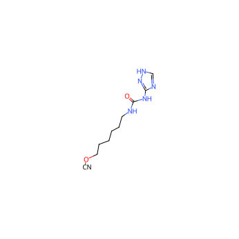 N#COCCCCCCNC(=O)Nc1nc[nH]n1